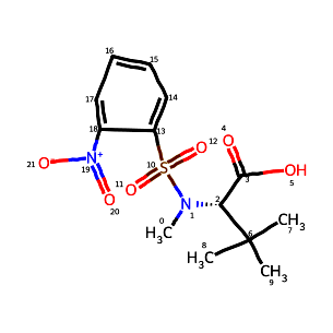 CN([C@H](C(=O)O)C(C)(C)C)S(=O)(=O)c1ccccc1[N+](=O)[O-]